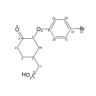 O=C(O)CC1CCC(=O)C(Oc2ccc(Br)cc2)C1